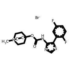 C[N+]12CCC(OC(=O)Nc3ncsc3-c3cc(F)ccc3F)(CC1)CC2.[Br-]